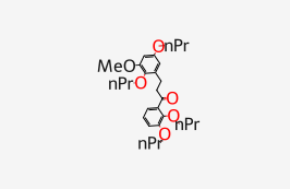 CCCOc1cc(CCC(=O)c2cccc(OCCC)c2OCCC)c(OCCC)c(OC)c1